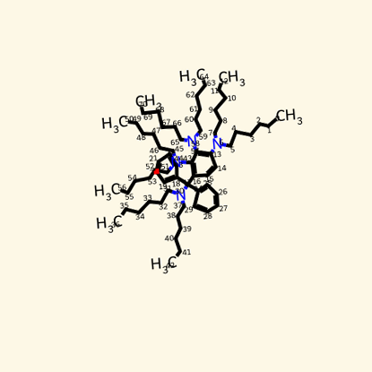 CCCCCCN(CCCCCC)c1ccc(C(c2ccccc2)(c2ccccc2)N(CCCCCC)CCCCCC)c(N(CCCCCC)CCCCCC)c1N(CCCCCC)CCCCCC